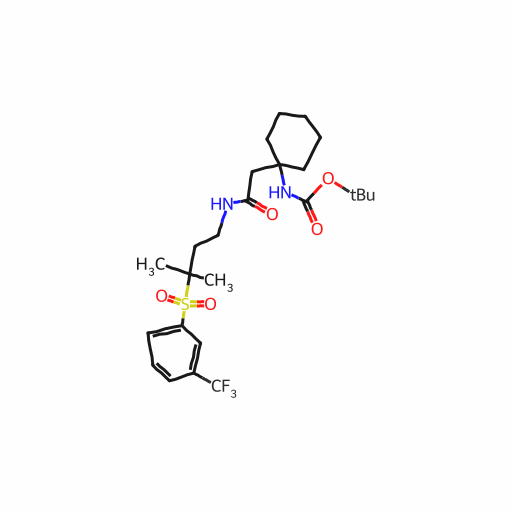 CC(C)(C)OC(=O)NC1(CC(=O)NCCC(C)(C)S(=O)(=O)c2cccc(C(F)(F)F)c2)CCCCC1